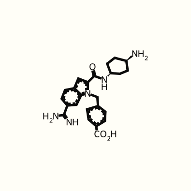 N=C(N)c1ccc2cc(C(=O)N[C@H]3CC[C@H](N)CC3)n(Cc3ccc(C(=O)O)cc3)c2c1